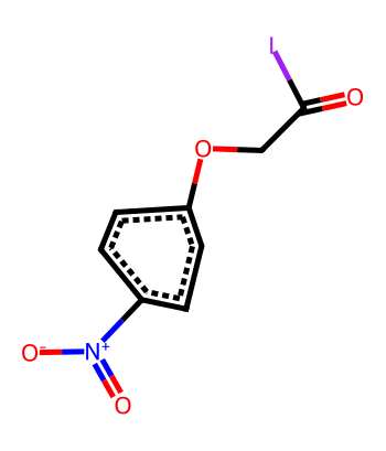 O=C(I)COc1ccc([N+](=O)[O-])cc1